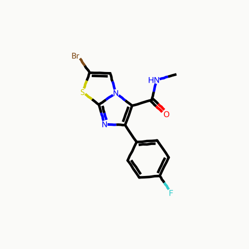 CNC(=O)c1c(-c2ccc(F)cc2)nc2sc(Br)cn12